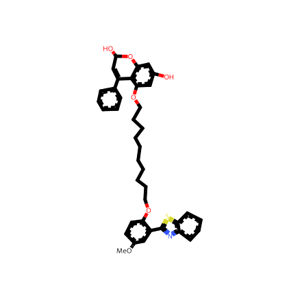 COc1ccc(OCCCCCCCCCCOc2cc(O)cc3c2C(c2ccccc2)=CC(O)O3)c(-c2nc3ccccc3s2)c1